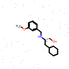 COc1cccc(CN[C@H](CO)CC2CCCCC2)c1